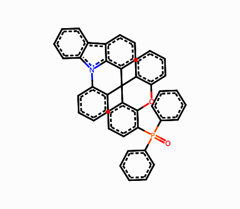 O=P(c1ccccc1)(c1ccccc1)c1cccc2c1Oc1ccccc1C21c2ccccc2-n2c3ccccc3c3cccc1c32